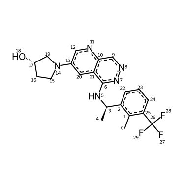 Cc1c([C@@H](C)Nc2nncc3ncc(N4CC[C@H](O)C4)cc23)cccc1C(F)(F)F